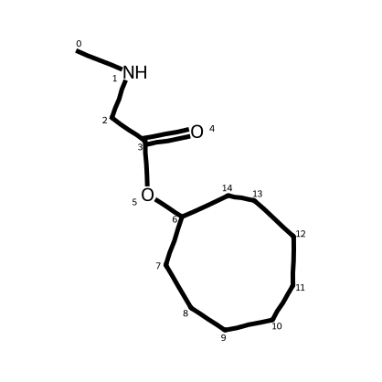 CNCC(=O)OC1CCCCCCCC1